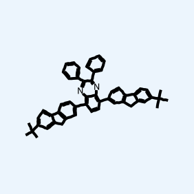 CC(C)(C)c1ccc2c(c1)Cc1cc(-c3ccc(-c4ccc5c(c4)Cc4cc(C(C)(C)C)ccc4-5)c4nc(-c5ccccc5)c(-c5ccccc5)nc34)ccc1-2